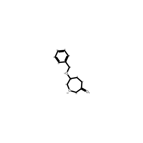 O=C1CCC(OCc2ccccc2)COC1